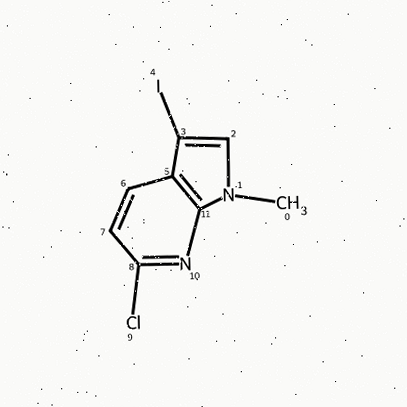 Cn1cc(I)c2ccc(Cl)nc21